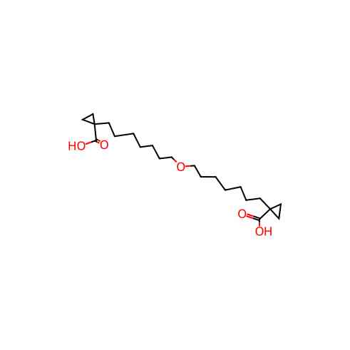 O=C(O)C1(CCCCCCCOCCCCCCCC2(C(=O)O)CC2)CC1